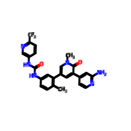 Cc1ccc(NC(=O)Nc2ccc(C(F)(F)F)nc2)cc1-c1cc(-c2ccnc(N)c2)c(=O)n(C)c1